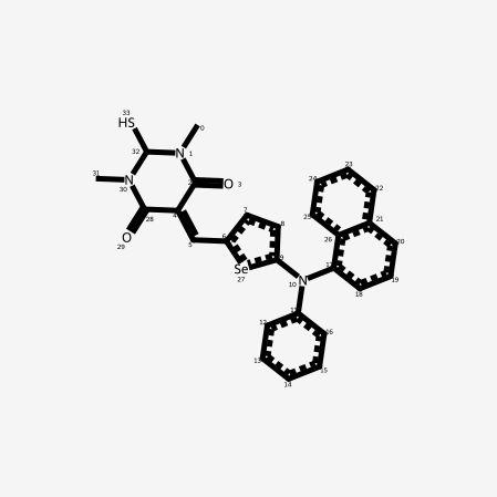 CN1C(=O)C(=Cc2ccc(N(c3ccccc3)c3cccc4ccccc34)[se]2)C(=O)N(C)C1S